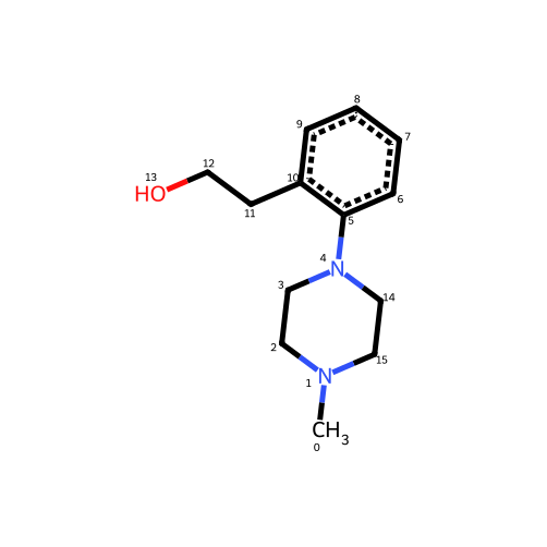 CN1CCN(c2cc[c]cc2CCO)CC1